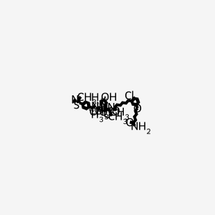 Cc1ncsc1-c1ccc([C@H](C)NC(=O)[C@@H]2C[C@@H](O)CN2C(=O)[C@@H](NC(=O)CCCCCc2cc(OCCCCC(N)=O)ccc2Cl)C(C)(C)C)cc1